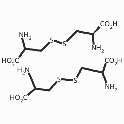 NC(CSSCC(N)C(=O)O)C(=O)O.NC(CSSC[C@H](N)C(=O)O)C(=O)O